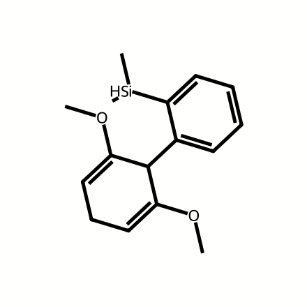 COC1=CCC=C(OC)C1c1ccccc1[SiH](C)C